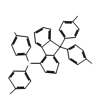 O=Cc1ccc(C2(c3ccc(C=O)cc3)c3ccccc3-c3c(N(c4ccc(Br)cc4)c4ccc(Br)cc4)cccc32)cc1